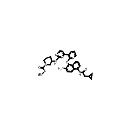 Cc1ccc2c(NC(=O)CC3CC3)cccc2c1Oc1ncccc1-c1ccnc(NC2CCCN(C(=O)OC(C)(C)C)C2)n1